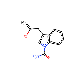 C=C(O)Cc1cn(C(N)=O)c2ccccc12